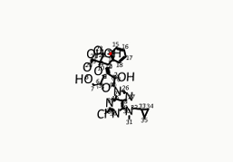 C#C[C@@H](O)[C@@H](O[C@@H](CO)COC(Cc1ccccc1)(C(=O)O)C(=O)O)n1cnc2c(N(C)CC3CC3)nc(Cl)nc21